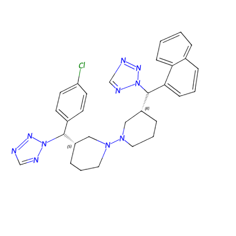 Clc1ccc(C([C@H]2CCCN(N3CCC[C@@H](C(c4cccc5ccccc45)n4ncnn4)C3)C2)n2ncnn2)cc1